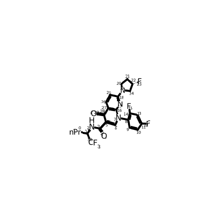 CCCC(NC(=O)c1cn(-c2ccc(F)cc2F)c2nc(N3CC[C@H](F)C3)ccc2c1=O)C(F)(F)F